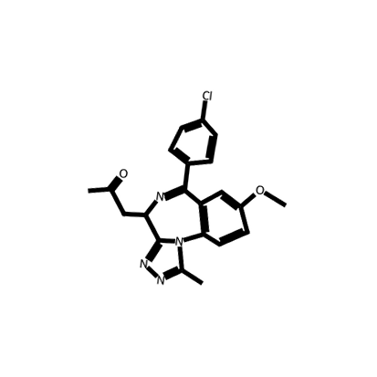 COc1ccc2c(c1)C(c1ccc(Cl)cc1)=NC(CC(C)=O)c1nnc(C)n1-2